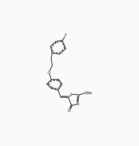 CSC1=NC(=O)/C(=C/c2ccc(OCCc3ccc(F)cc3)cc2)S1